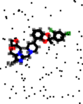 CC1(c2ccc(Cl)cc2F)Oc2cccc(C3CCN(Cc4nc(C(F)(F)F)c(CO)n4CC4CCO4)CC3)c2O1